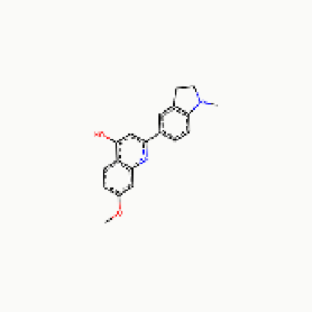 COc1ccc2c(O)cc(-c3ccc4c(c3)CCN4C)nc2c1